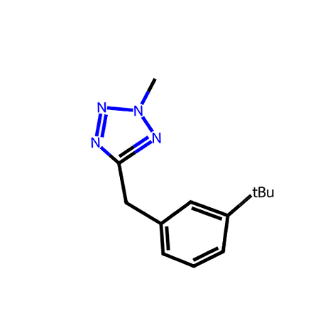 Cn1nnc(Cc2cccc(C(C)(C)C)c2)n1